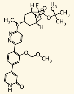 COCOc1cc(-c2cc[nH]c(=O)c2)ccc1-c1ccc(N(C)[C@@H]2C[C@H]3CC(F)(F)[C@@H](C2)N3C(=O)OC(C)(C)C)nn1